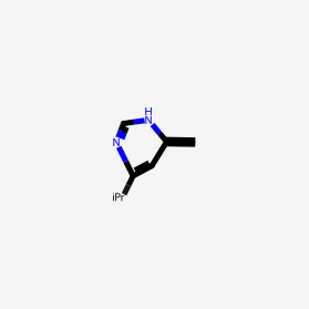 C=C1C=C(C(C)C)N=CN1